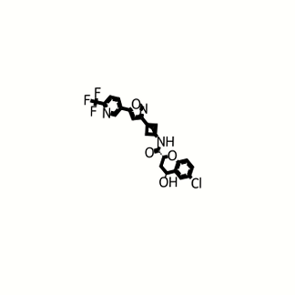 O=C(NC12CC(c3cc(-c4ccc(C(F)(F)F)nc4)on3)(C1)C2)[C@H]1C[C@@H](O)c2cc(Cl)ccc2O1